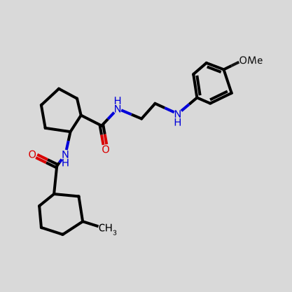 COc1ccc(NCCNC(=O)C2CCCCC2NC(=O)C2CCCC(C)C2)cc1